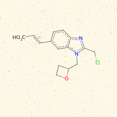 O=C(O)/C=C/c1ccc2nc(CCl)n(CC3CCO3)c2c1